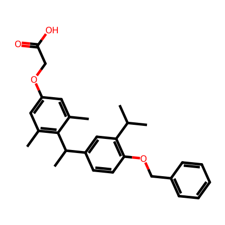 Cc1cc(OCC(=O)O)cc(C)c1C(C)c1ccc(OCc2ccccc2)c(C(C)C)c1